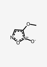 COc1cno[n+]1[O-]